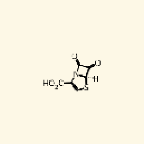 O=C(O)C1=CS[C@@H]2C(=O)C(=O)N12